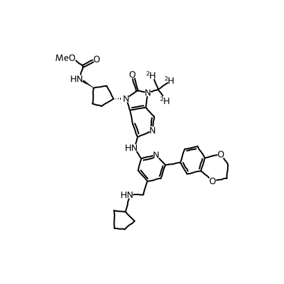 [2H]C([2H])([2H])n1c(=O)n([C@@H]2CC[C@@H](NC(=O)OC)C2)c2cc(Nc3cc(CNC4CCCC4)cc(-c4ccc5c(c4)OCCO5)n3)ncc21